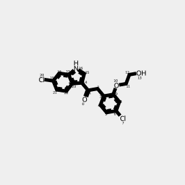 O=C(Cc1ccc(Cl)cc1OCCO)c1c[nH]c2cc(Cl)ccc12